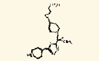 Cl.O=C(O)CCOC1CCN(C(=O)c2nnc(C3CCNCC3)s2)CC1